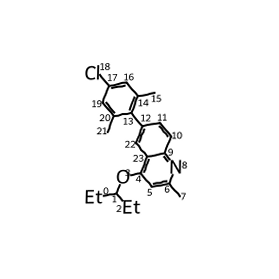 CCC(CC)Oc1cc(C)nc2ccc(-c3c(C)cc(Cl)cc3C)cc12